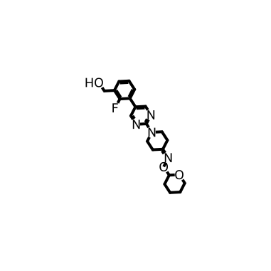 OCc1cccc(-c2cnc(N3CCC(=NOC4CCCCO4)CC3)nc2)c1F